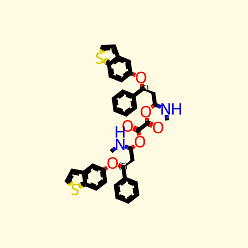 CNC(C[C@H](Oc1ccc2sccc2c1)c1ccccc1)OC(=O)C(=O)OC(C[C@H](Oc1ccc2sccc2c1)c1ccccc1)NC